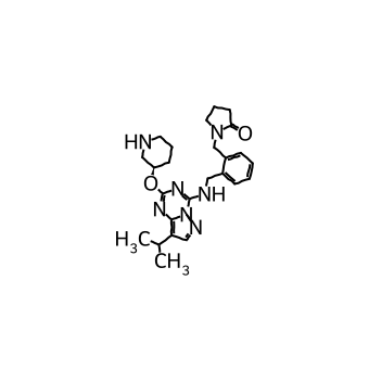 CC(C)c1cnn2c(NCc3ccccc3CN3CCCC3=O)nc(O[C@@H]3CCCNC3)nc12